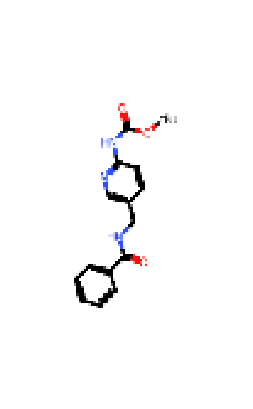 CC(C)(C)OC(=O)Nc1ccc(CNC(=O)c2ccccc2)cn1